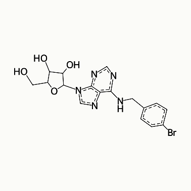 OCC1OC(n2cnc3c(NCc4ccc(Br)cc4)ncnc32)C(O)C1O